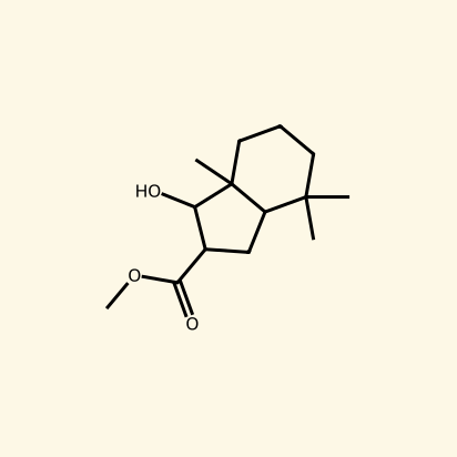 COC(=O)C1CC2C(C)(C)CCCC2(C)C1O